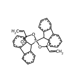 C=CC(=O)[O][Ti]([O]C(=O)C=C)([CH]1c2ccccc2-c2ccccc21)[CH]1c2ccccc2-c2ccccc21